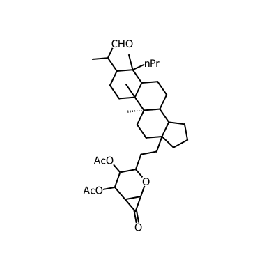 CCCC1(C)C(C(C)C=O)CCC2(C)C1CCC1C3CCCC3(CCC3OC4C(=O)C4C(OC(C)=O)C3OC(C)=O)CC[C@]12C